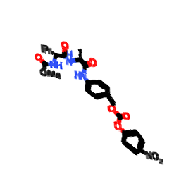 COC(=O)N[C@H](C(=O)N[C@@H](C)C(=O)Nc1ccc(COC(=O)Oc2ccc([N+](=O)[O-])cc2)cc1)C(C)C